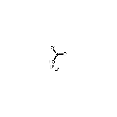 [Li+].[Li+].[O-]B([O-])O